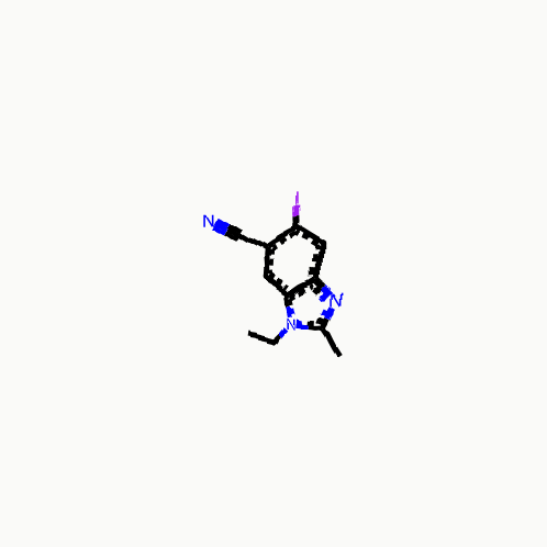 CCn1c(C)nc2cc(I)c(C#N)cc21